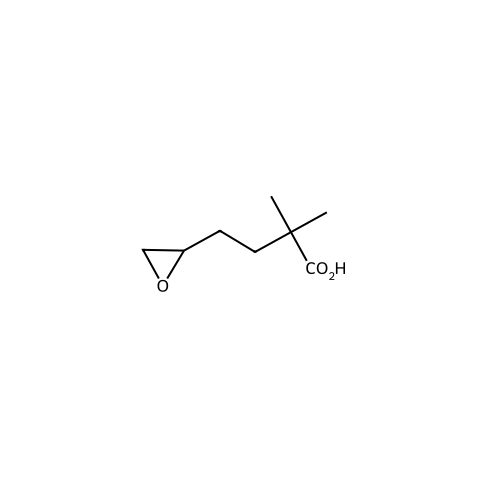 CC(C)(CCC1CO1)C(=O)O